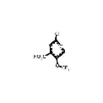 O=C(O)c1cc(Cl)ccc1OC(F)(F)F